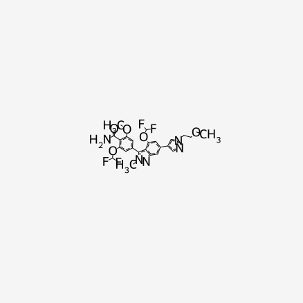 COCCn1cc(-c2cc(OC(F)F)c3c(-c4cc(OC)c(C(N)=O)c(OC(F)F)c4)n(C)nc3c2)cn1